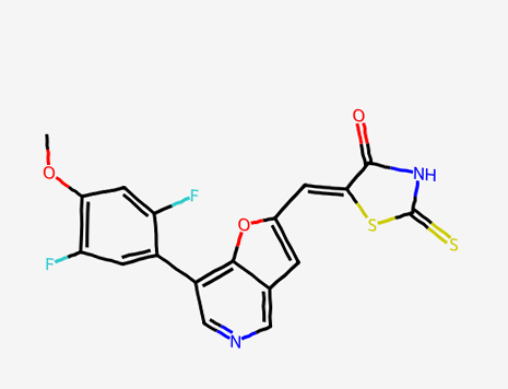 COc1cc(F)c(-c2cncc3cc(/C=C4\SC(=S)NC4=O)oc23)cc1F